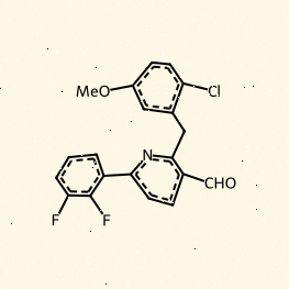 COc1ccc(Cl)c(Cc2nc(-c3cccc(F)c3F)ccc2C=O)c1